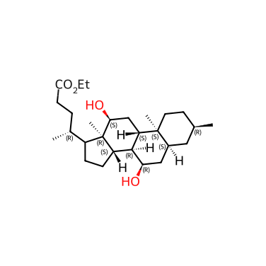 CCOC(=O)CC[C@@H](C)C1CC[C@H]2[C@@H]3[C@H](O)C[C@@H]4C[C@H](C)CC[C@]4(C)[C@H]3C[C@H](O)[C@]12C